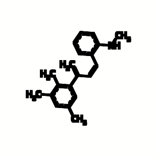 C=C(/C=C\c1ccccc1NC)c1cc(C)cc(C)c1C